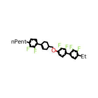 CCCCCc1ccc(C2=CCC(COc3ccc(-c4ccc(CC)c(F)c4F)c(F)c3F)CC2)c(F)c1F